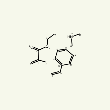 C=C(C)C(=O)OCC.C=Cc1ccccc1.CNC